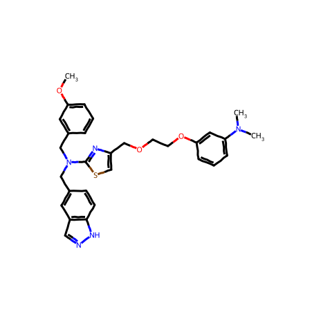 COc1cccc(CN(Cc2ccc3[nH]ncc3c2)c2nc(COCCOc3cccc(N(C)C)c3)cs2)c1